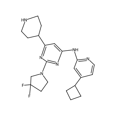 FC1(F)CCN(c2nc(Nc3cc(C4CCC4)ccn3)cc(C3CCNCC3)n2)C1